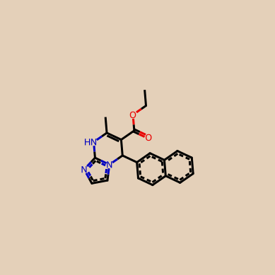 CCOC(=O)C1=C(C)Nc2nccn2C1c1ccc2ccccc2c1